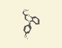 OCC1CN(c2ccc(C(F)(F)F)cc2)c2ccccc2O1